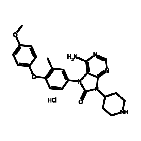 COc1ccc(Oc2ccc(-n3c(=O)n(C4CCNCC4)c4ncnc(N)c43)cc2C)cc1.Cl